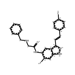 O=C(CNCc1ccccc1)Nc1cc2c(/C=C/c3ccc(F)cc3)n[nH]c2cc1F